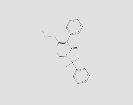 COCC1=C(c2ccccc2)C(=O)N(C(C)(C)c2ccccc2)CO1